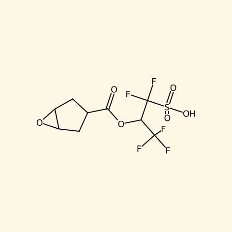 O=C(OC(C(F)(F)F)C(F)(F)S(=O)(=O)O)C1CC2OC2C1